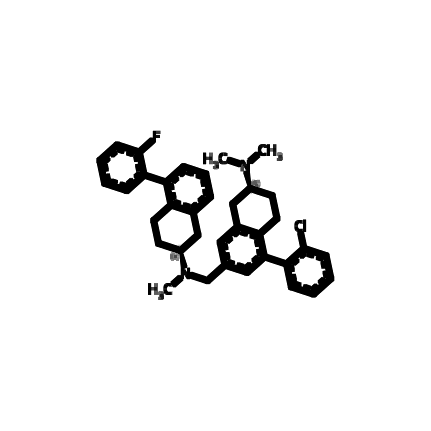 CN(C)[C@H]1CCc2c(cc(CN(C)[C@H]3CCc4c(cccc4-c4ccccc4F)C3)cc2-c2ccccc2Cl)C1